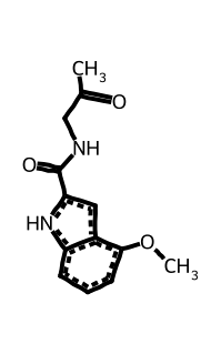 COc1cccc2[nH]c(C(=O)NCC(C)=O)cc12